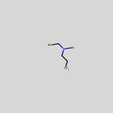 CC(C)CN(CCC(F)(F)F)C(C)C